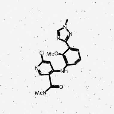 CNC(=O)c1cnc(Cl)cc1Nc1cccc(-c2ncn(C)n2)c1OC